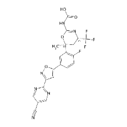 C[C@@]1(c2cc(-c3cc(-c4ncc(C#N)cn4)no3)ccc2F)C[C@@H](C(F)(F)F)N=C(NC(=O)O)O1